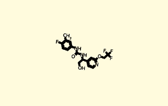 Cc1cc(NC(=O)NC(CO)c2ccnc(OCC(F)(F)F)c2)ccc1F